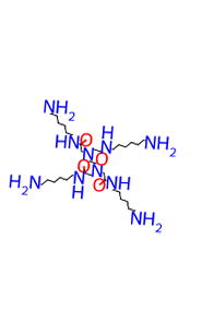 NCCCCCCNC(=O)CN(CCN(CC(=O)NCCCCCCN)CC(=O)NCCCCCCN)CC(=O)NCCCCCCN